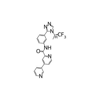 C[C@@H](n1cnnc1-c1cccc(NC(=O)c2cc(-c3cccnc3)ccn2)c1)C(F)(F)F